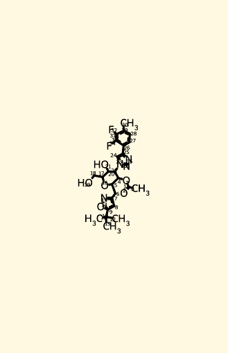 CC(=O)OC1C(Cc2cc(C(C)(C)C)on2)OC(CO)C(O)C1n1cc(-c2ccc(C)c(F)c2F)nn1